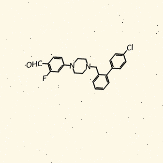 O=[C]c1ccc(N2CCN(Cc3ccccc3-c3ccc(Cl)cc3)CC2)cc1F